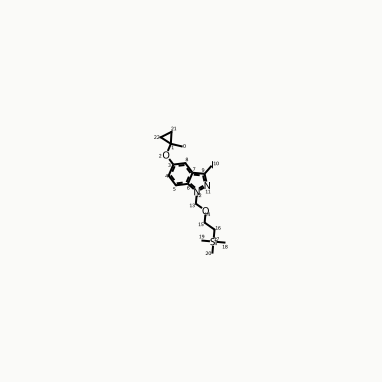 CC1(Oc2ccc3c(c2)c(I)nn3COCC[Si](C)(C)C)CC1